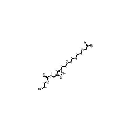 CCC(=O)COCCOCCOCCn1cc(CNC(=O)OCCC(C)(C)C)nn1